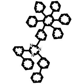 c1ccc(-c2cccc(-c3nc(-c4ccc(-c5c(-c6ccccc6)c(-c6ccccc6)c(-c6ccccc6)c(-c6ccccc6)c5-c5ccccc5)cc4)nc(-c4ccccc4-c4ccccc4)n3)c2)cc1